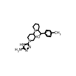 Cc1ccc(C(O)C2CCCCN2C2CCN(c3nnc(N)[nH]3)CC2)cc1